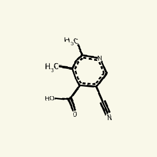 Cc1ncc(C#N)c(C(=O)O)c1C